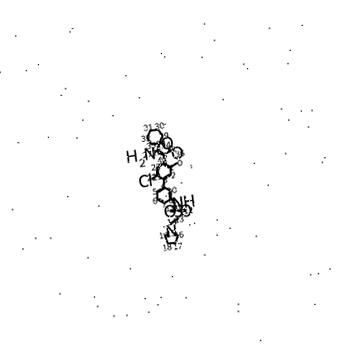 Cc1cc(-c2cccc(NS(=O)(=O)CCN3CCCC3)c2)c(Cl)cc1C1=C(N)C2(CCCCC2)OC1=O